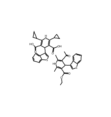 CCOC(=O)C1=C(C)NC(C)=C(C(C)=O)C1c1csc2ccccc12.O=C(O)C1=C(C2CC2)NC(C2CC2)=C(C(=O)O)C1c1csc2ccccc12